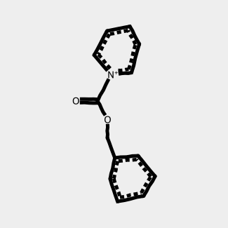 O=C(OCc1ccccc1)[n+]1ccccc1